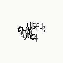 CC(C)(C)CNC1=NC(N)(c2ccc(F)nc2)NC(c2ccccn2)=N1